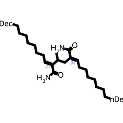 CCCCCCCCCCCCCCCCC/C=C(\CC(C)/C(=C\CCCCCCCCCCCCCCCCC)C(N)=O)C(N)=O